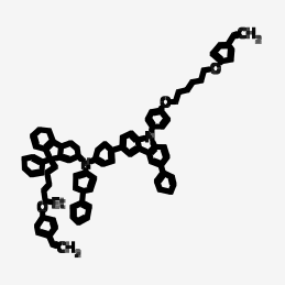 C=CC1=CCC(OC(CC)CCCCC2(C3=CCCC=C3)C3=CC(N(C4=CCC(c5ccccc5)C=C4)C4=CC=C(c5ccc6c(c5)c5cc(C7=CCCC=C7)ccc5n6-c5ccc(OCCCCCCOc6ccc(C=C)cc6)cc5)CC4)CCC3C3=C2C=CCC3)C=C1